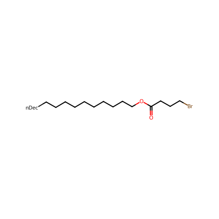 CCCCCCCCCCCCCCCCCCCCOC(=O)CCCBr